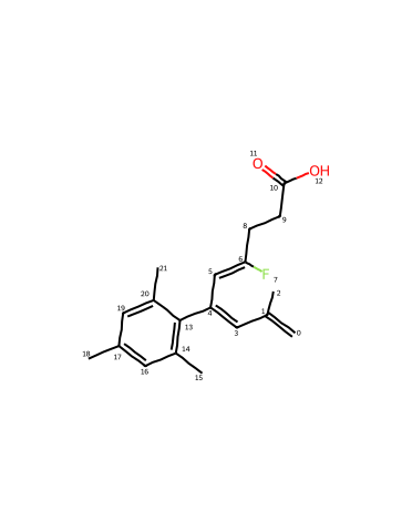 C=C(C)/C=C(\C=C(/F)CCC(=O)O)c1c(C)cc(C)cc1C